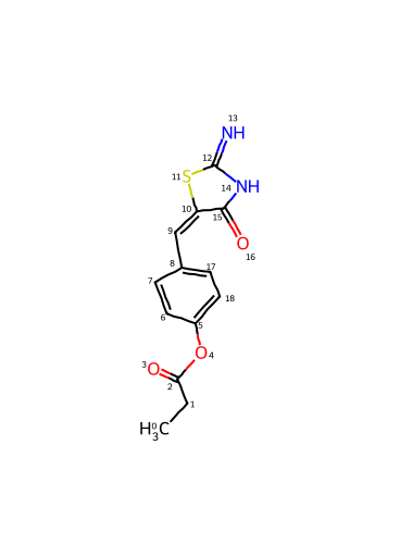 CCC(=O)Oc1ccc(C=C2SC(=N)NC2=O)cc1